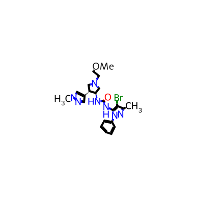 COCCN1C[C@@H](NC(=O)Nc2c(Br)c(C)nn2-c2ccccc2)[C@H](c2cnn(C)c2)C1